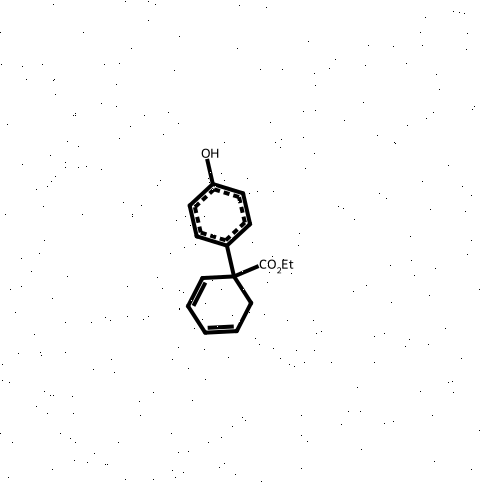 CCOC(=O)C1(c2ccc(O)cc2)C=CC=CC1